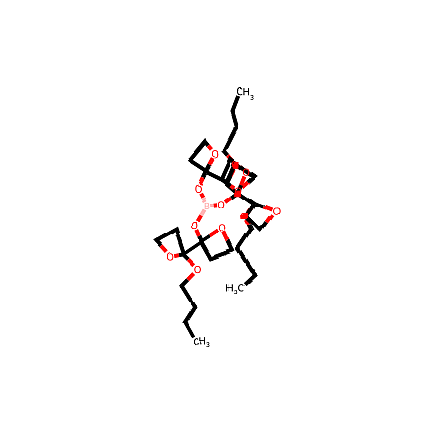 CCCCOC1(C2(OB(OC3(C4(OCCCC)CCO4)CCO3)OC3(C4(OCCCC)CCO4)CCO3)CCO2)CCO1